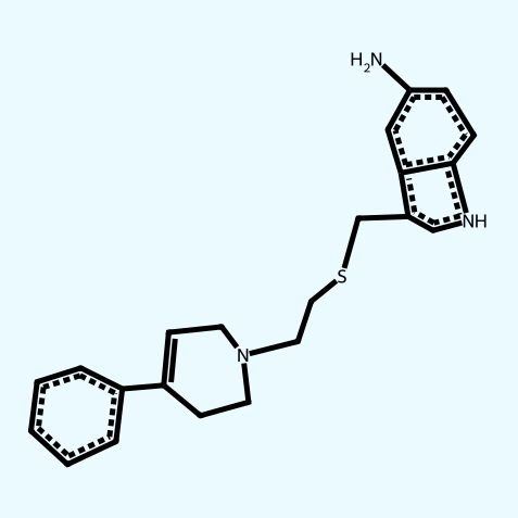 Nc1ccc2[nH]cc(CSCCN3CC=C(c4ccccc4)CC3)c2c1